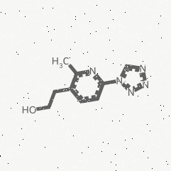 Cc1nc(-n2cnnn2)ccc1CCO